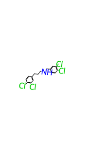 Clc1ccc(CCCNCc2ccc(Cl)c(Cl)c2)cc1Cl